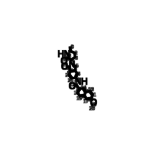 C=C1CC[C@H](N2Cc3cc(NC(=O)c4ccc5cc(OC)ccc5c4)ccc3C2=O)C(=O)N1